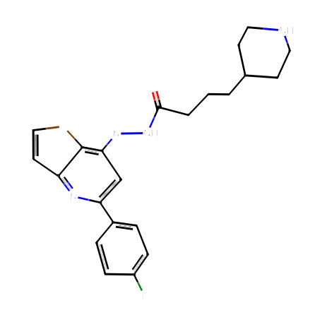 O=C(CCCC1CCNCC1)NNc1cc(-c2ccc(F)cc2)nc2ccsc12